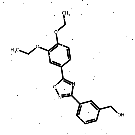 CCOc1ccc(-c2nc(-c3cccc(CO)c3)no2)cc1OCC